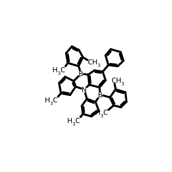 Cc1ccc2c(c1)N1c3cc(C)ccc3B(c3c(C)cccc3C)c3cc(-c4ccccc4)cc(c31)B2c1c(C)cccc1C